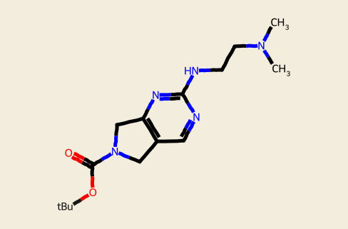 CN(C)CCNc1ncc2c(n1)CN(C(=O)OC(C)(C)C)C2